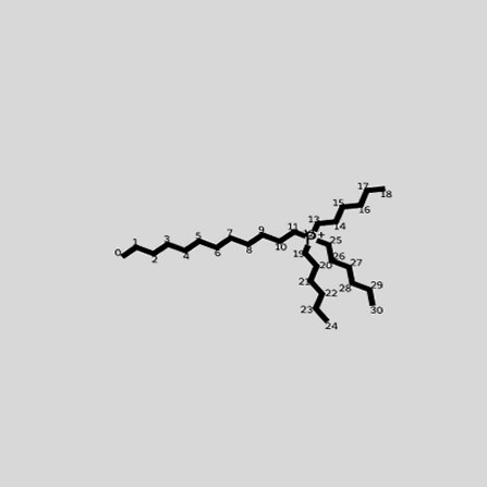 CCCCCCCCCCCC[P+](CCCCCC)(CCCCCC)CCCCCC